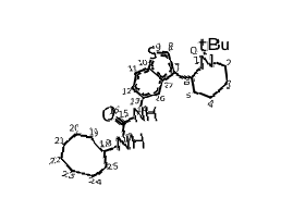 CC(C)(C)N1CCCCC1c1csc2ccc(NC(=O)NC3CCCCCCC3)cc12